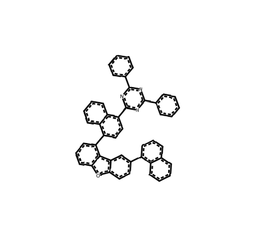 c1ccc(-c2nc(-c3ccccc3)nc(-c3ccc(-c4cccc5oc6ccc(-c7cccc8ccccc78)cc6c45)c4ccccc34)n2)cc1